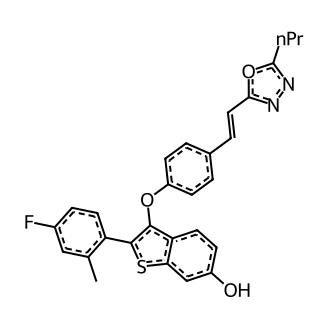 CCCc1nnc(C=Cc2ccc(Oc3c(-c4ccc(F)cc4C)sc4cc(O)ccc34)cc2)o1